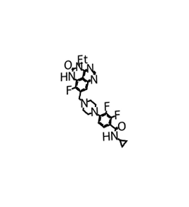 CCN1C(=O)Nc2c(F)c(CN3CCN(c4ccc(C(=O)NC5CC5)c(F)c4F)CC3)cc3ncnc1c23